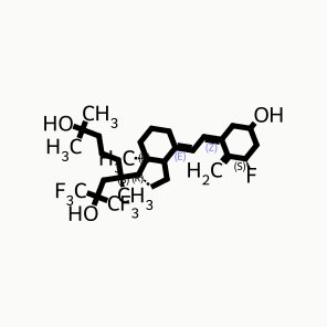 C=C1/C(=C\C=C2/CCC[C@@]3(C)C2CC[C@@H]3[C@@](C)(CCCC(C)(C)O)CC(O)(C(F)(F)F)C(F)(F)F)CC(O)C[C@@H]1F